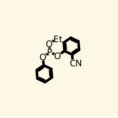 CCOP(Oc1ccccc1)Oc1ccccc1C#N